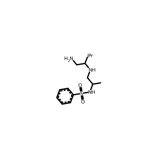 CC(CNC(CN)C(C)C)NS(=O)(=O)c1ccccc1